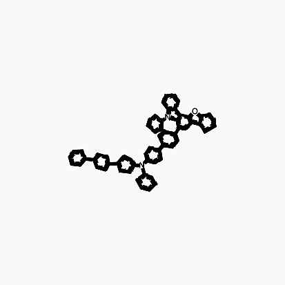 c1ccc(-c2ccc(-c3ccc(N(c4ccccc4)c4ccc(-c5ccc(-c6cc7c8ccccc8oc7c7c8ccccc8n(-c8ccccc8)c67)cc5)cc4)cc3)cc2)cc1